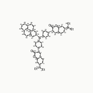 CCN(CC)c1ccc2cc(-c3ccc(N(c4ccc(-c5cc6ccc(N(CC)CC)cc6oc5=O)cc4)c4cc5ccc6cccc7ccc(c4)c5c67)cc3)c(=O)oc2c1